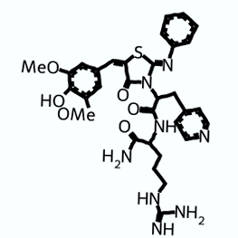 COc1cc(C=C2SC(=Nc3ccccc3)N(C(Cc3ccncc3)C(=O)NC(CCCNC(=N)N)C(N)=O)C2=O)cc(OC)c1O